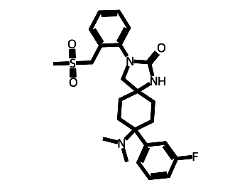 CN(C)C1(c2cccc(F)c2)CCC2(CC1)CN(c1ccccc1CS(C)(=O)=O)C(=O)N2